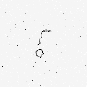 CCCCCCCCCCS[C]1CC[CH]CC1